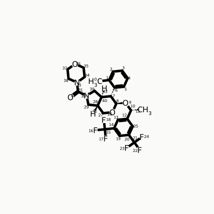 Cc1ccccc1[C@@H]1[C@@H](O[C@H](C)c2cc(C(F)(F)F)cc(C(F)(F)F)c2)OC[C@@H]2CN(C(=O)N3CCOCC3)C[C@H]21